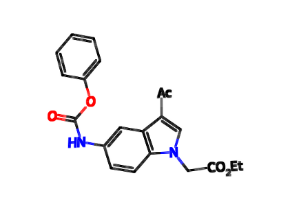 CCOC(=O)Cn1cc(C(C)=O)c2cc(NC(=O)Oc3ccccc3)ccc21